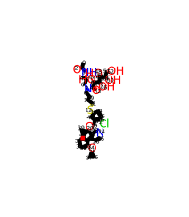 CC(=O)NCCCN(CCCCSc1ccc(Cl)c(COC2(c3cnccc3-c3ccccc3OC3CC3)CC2)c1)C(=O)[C@@H](O)[C@@H](O)[C@H](O)[C@@H](O)CO